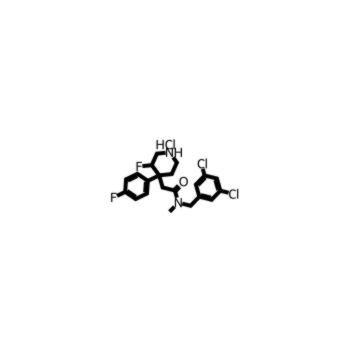 CN(Cc1cc(Cl)cc(Cl)c1)C(=O)CC1(c2ccc(F)cc2)CCNCC1F.Cl